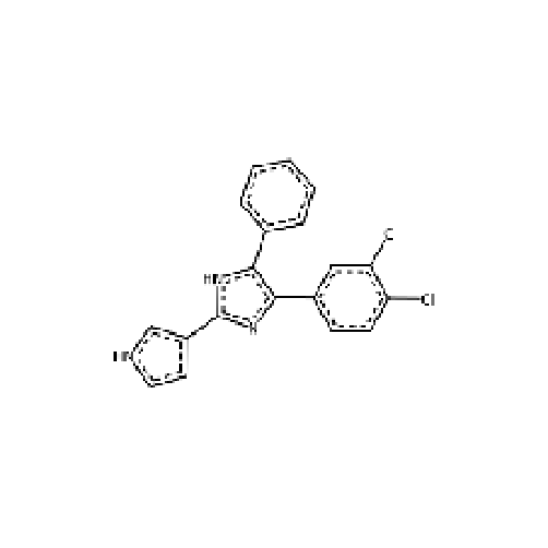 Clc1ccc(-c2nc(-c3cc[nH]c3)[nH]c2-c2ccccc2)cc1Cl